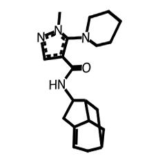 Cn1ncc(C(=O)NC2CC3=CCC4CC3C2C4)c1N1CCCCC1